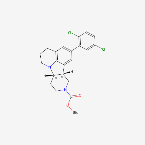 CC(C)(C)OC(=O)N1CC[C@H]2[C@@H](C1)c1cc(-c3cc(Cl)ccc3Cl)cc3c1N2CCC3